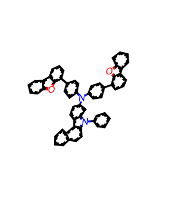 c1ccc(-n2c3cc(N(c4ccc(-c5cccc6c5oc5ccccc56)cc4)c4ccc(-c5cccc6c5oc5ccccc56)cc4)ccc3c3c4ccccc4ccc32)cc1